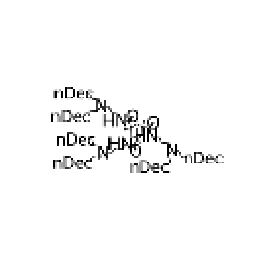 CCCCCCCCCCCCN(CCCCCCCCCCCC)CCCNC(=O)C1(C)CC(C)(C(=O)NCCCN(CCCCCCCCCCCC)CCCCCCCCCCCC)CC(C)(C(=O)NCCCN(CCCCCCCCCCCC)CCCCCCCCCCCC)C1